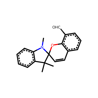 CN1c2ccccc2C(C)(C)C12C=Cc1cccc(C=O)c1O2